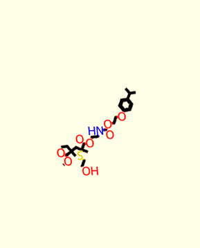 CCC(C)(CC(C)(SCCO)C(=O)OCCNC(=O)OCCOc1ccc(C(C)C)cc1)C(=O)OC